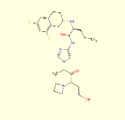 CCC[C@H](N[C@H]1CCc2cc(F)cc(F)c2C1)C(=O)Nc1cn(C(C)C(=O)C(CCO)N2CCC2)cn1